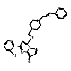 Clc1ccccc1-c1cc(NCC2CCN(C/C=C/c3ccccc3)CC2)n2ncc(Br)c2n1